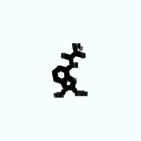 CCCCn1c(OC)nc2c(NC(=O)C(N)=O)cccc21